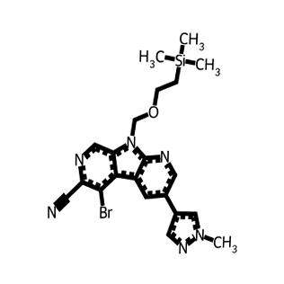 Cn1cc(-c2cnc3c(c2)c2c(Br)c(C#N)ncc2n3COCC[Si](C)(C)C)cn1